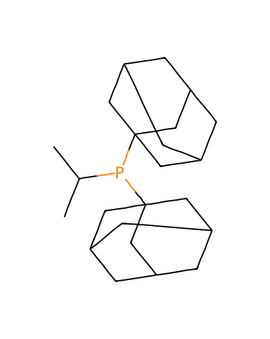 CC(C)P(C12CC3CC(CC(C3)C1)C2)C12CC3CC(CC(C3)C1)C2